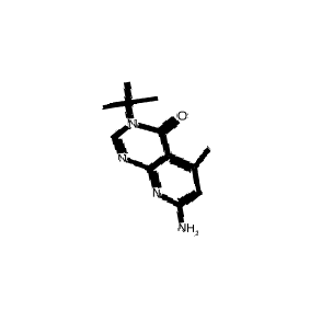 Cc1cc(N)nc2ncn(C(C)(C)C)c(=O)c12